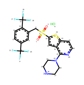 Cl.O=S(=O)(Cc1cc(C(F)(F)F)ccc1C(F)(F)F)c1cc2c(N3CCNCC3)nccc2s1